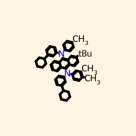 Cc1ccc(N(c2cccc(C3CCCCC3)c2)c2c3ccccc3c(N(c3cccc(C4CCCCC4)c3)c3ccc(C)c(C)c3)c3ccc(C(C)(C)C)cc23)cc1